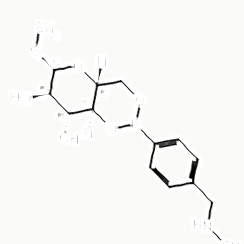 CNCc1ccc(B2OC[C@H]3O[C@H](OC)[C@H](O)[C@@H](O)[C@@H]3O2)cc1